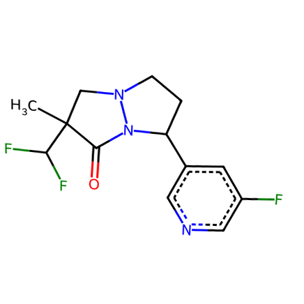 CC1(C(F)F)CN2CCC(c3cncc(F)c3)N2C1=O